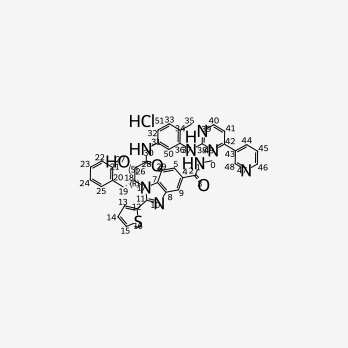 CNC(=O)c1ccc2c(c1)nc(-c1cccs1)n2[C@H](Cc1ccccc1)[C@H](O)C(=O)Nc1ccc(C)c(Nc2nccc(-c3cccnc3)n2)c1.Cl